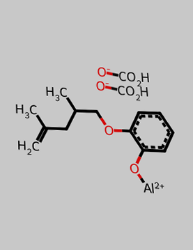 C=C(C)CC(C)COc1ccccc1[O][Al+2].O=C([O-])O.O=C([O-])O